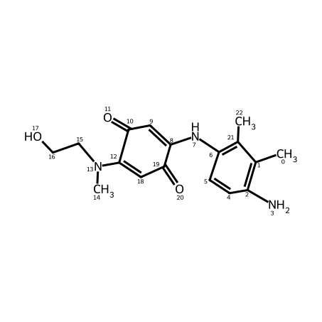 Cc1c(N)ccc(NC2=CC(=O)C(N(C)CCO)=CC2=O)c1C